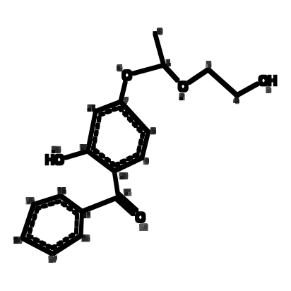 CC(OCCO)Oc1ccc(C(=O)c2ccccc2)c(O)c1